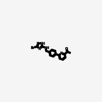 CC(=O)c1cccc(-c2ccc(CNc3nc(Br)n[nH]3)cc2)n1